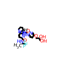 CC(NC(=O)c1ccc2c(n1)N(C(=O)Nc1ccc(OCC(O)CO)cn1)[C@H]1CCCN2C1)C(F)(F)F